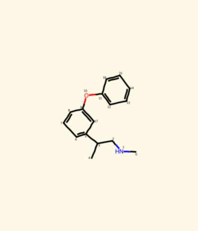 CNCC(C)c1cccc(Oc2ccccc2)c1